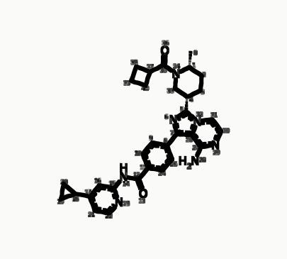 C[C@@H]1CC[C@H](c2nc(-c3ccc(C(=O)Nc4cc(C5CC5)ccn4)cc3)c3c(N)nccn23)CN1C(=O)C1CCC1